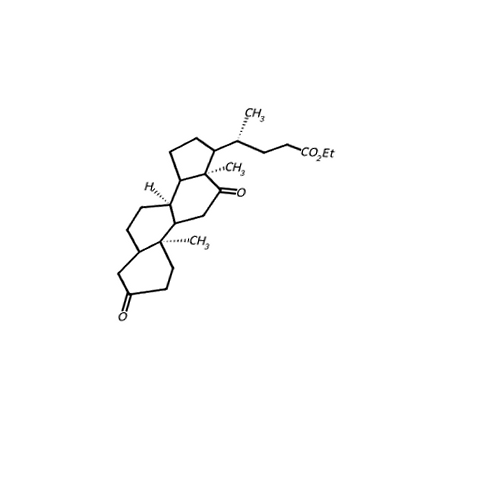 CCOC(=O)CC[C@@H](C)C1CCC2[C@@H]3CCC4CC(=O)CC[C@]4(C)C3CC(=O)[C@@]21C